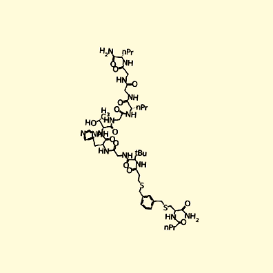 CCCC(=O)N[C@@H](CSCc1cccc(CSCCC(=O)NC(C(=O)NCC(=O)N[C@@H](Cc2cnc[nH]2)C(=O)N[C@H](C(=O)NCC(=O)N[C@@H](CCC)C(=O)NCC(=O)NCC(=O)N[C@@H](CCC)C(N)=O)[C@@H](C)O)C(C)(C)C)c1)C(N)=O